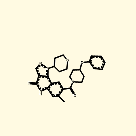 Cc1cc2[nH]c(=O)c3cnn(C4CCOCC4)c3c2cc1C(=O)N1CCC(Oc2ccccc2)CC1